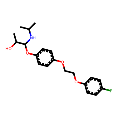 CC(C)NC(Oc1ccc(OCCOc2ccc(F)cc2)cc1)C(C)O